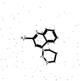 C1COOOC1.Nc1ccc2ccccc2n1